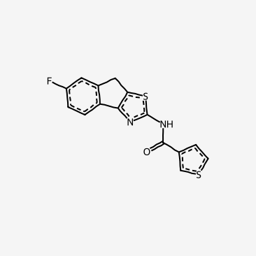 O=C(Nc1nc2c(s1)Cc1cc(F)ccc1-2)c1ccsc1